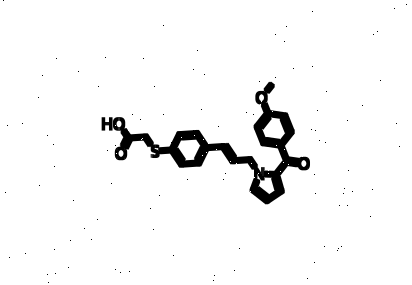 COc1ccc(C(=O)c2cccn2C/C=C/c2ccc(SCC(=O)O)cc2)cc1